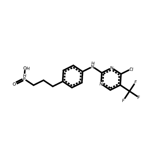 O=[PH](O)CCCc1ccc(Nc2ncc(C(F)(F)F)c(Cl)n2)cc1